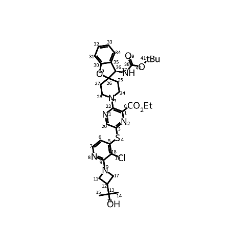 CCOC(=O)c1nc(Sc2ccnc(N3CC(C(C)(C)O)C3)c2Cl)cnc1N1CCC2(CC1)Oc1ccccc1[C@H]2NC(=O)OC(C)(C)C